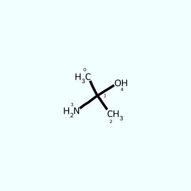 CC(C)(N)O